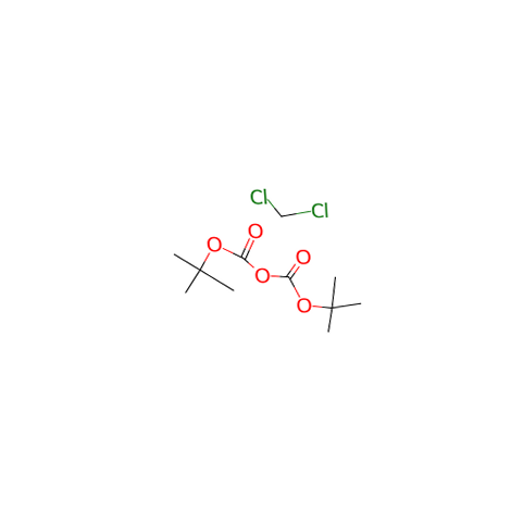 CC(C)(C)OC(=O)OC(=O)OC(C)(C)C.ClCCl